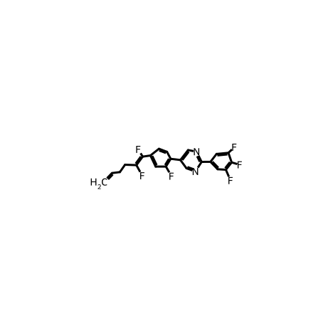 C=CCC/C(F)=C(\F)c1ccc(-c2cnc(-c3cc(F)c(F)c(F)c3)nc2)c(F)c1